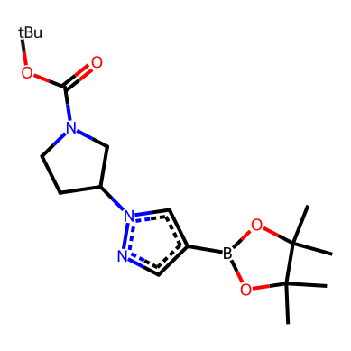 CC(C)(C)OC(=O)N1CCC(n2cc(B3OC(C)(C)C(C)(C)O3)cn2)C1